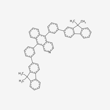 CC1(C)c2ccccc2-c2ccc(-c3cccc(-c4c5ccccc5c(-c5cccc(-c6ccc7c(c6)C(C)(C)c6ccccc6-7)c5)c5cnccc45)c3)cc21